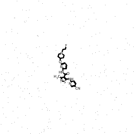 Cc1nsc(Nc2ccc(C#N)cn2)c1C(=O)Nc1cccc(OC2CCN(CCF)CC2)n1